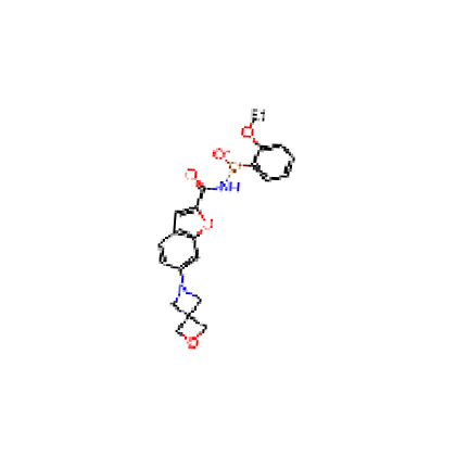 CCOc1ccccc1[S+]([O-])NC(=O)c1cc2ccc(N3CC4(COC4)C3)cc2o1